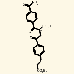 CCOC(=O)COc1ccc(C(=O)C[C@H](C(=O)O)C(=O)c2ccc(C(N)=S)cc2)cc1